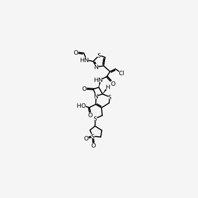 O=CNc1nc(/C(=C/Cl)C(=O)N[C@@H]2C(=O)N3C(C(=O)O)=C(CSC4CCS(=O)(=O)C4)CS[C@@H]23)cs1